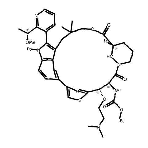 CCn1c(-c2cccnc2[C@H](C)OC)c2c3cc(ccc31)-c1csc(n1)[C@@H](OCCN(C)C)[C@H](NC(=O)OC(C)(C)C)C(=O)N1CCC[C@H](N1)C(=O)OCC(C)(C)C2